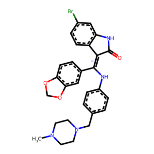 CN1CCN(Cc2ccc(N/C(=C3\C(=O)Nc4cc(Br)ccc43)c3ccc4c(c3)OCO4)cc2)CC1